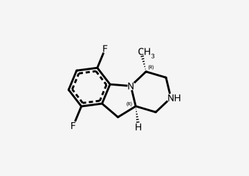 C[C@@H]1CNC[C@H]2Cc3c(F)ccc(F)c3N21